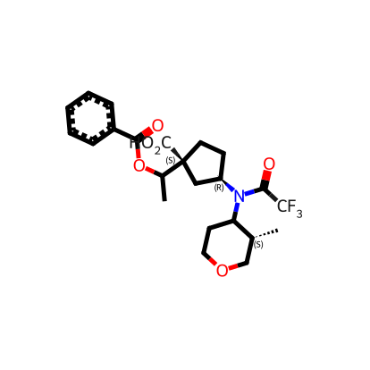 CC(OC(=O)c1ccccc1)[C@]1(C(=O)O)CC[C@@H](N(C(=O)C(F)(F)F)C2CCOC[C@H]2C)C1